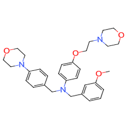 COc1cccc(CN(Cc2ccc(N3CCOCC3)cc2)c2ccc(OCCN3CCOCC3)cc2)c1